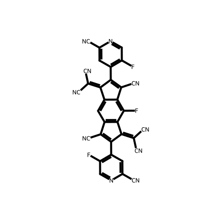 N#CC(C#N)=C1C(c2cc(C#N)ncc2F)=C(C#N)c2c1cc1c(c2F)C(=C(C#N)C#N)C(c2cc(C#N)ncc2F)=C1C#N